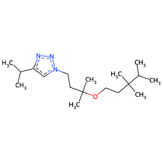 CC(C)c1cn(CCC(C)(C)OCCC(C)(C)C(C)C)nn1